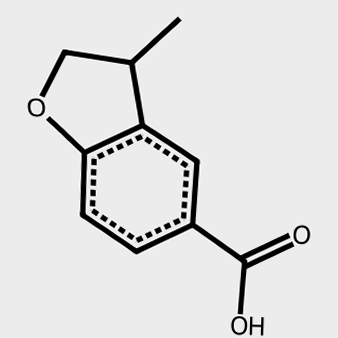 CC1COc2ccc(C(=O)O)cc21